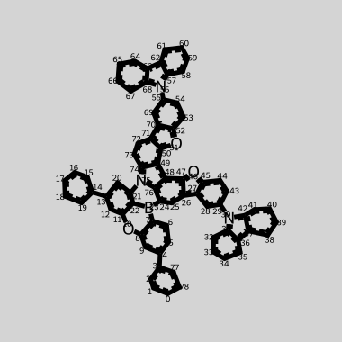 c1ccc(-c2ccc3c(c2)Oc2cc(-c4ccccc4)cc4c2B3c2cc3c5cc(-n6c7ccccc7c7ccccc76)ccc5oc3c3c5c6oc7ccc(-n8c9ccccc9c9ccccc98)cc7c6ccc5n-4c23)cc1